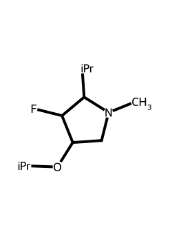 CC(C)OC1CN(C)C(C(C)C)C1F